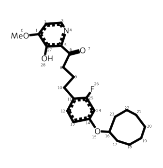 COc1ccnc(C(=O)CCCc2ccc(OC3CCCCCCC3)cc2F)c1O